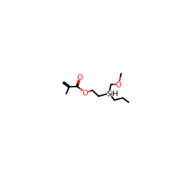 C=C(C)C(=O)OCC[SiH](CCC)COC